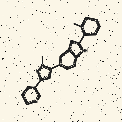 Cc1ccccc1-c1cc2cc(-c3cc(-c4cccnc4)nn3C)ccc2[nH]1